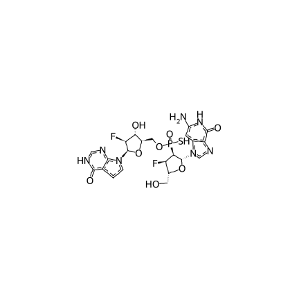 Nc1cc2c(ncn2[C@@H]2O[C@H](CO)[C@@H](F)[C@H]2P(=O)(S)OC[C@H]2O[C@@H](n3ccc4c(=O)[nH]cnc43)[C@@H](F)[C@@H]2O)c(=O)[nH]1